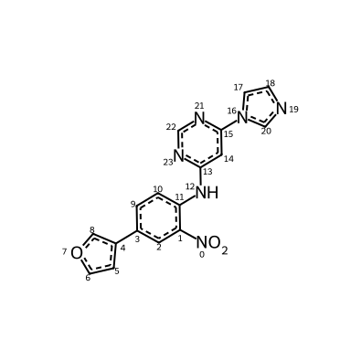 O=[N+]([O-])c1cc(-c2ccoc2)ccc1Nc1cc(-n2ccnc2)ncn1